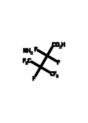 N.O=C(O)C(F)(F)C(F)(C(F)(F)F)C(F)(F)F